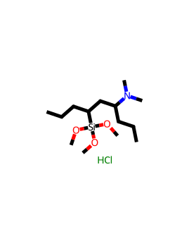 CCCC(CC(CCC)[Si](OC)(OC)OC)N(C)C.Cl